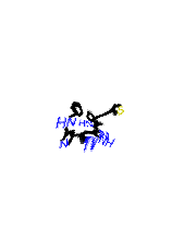 c1ccc(CNCc2cncc(-c3cnc4[nH]nc(-c5cc6c(-c7ccsc7)cccc6[nH]5)c4c3)c2)cc1